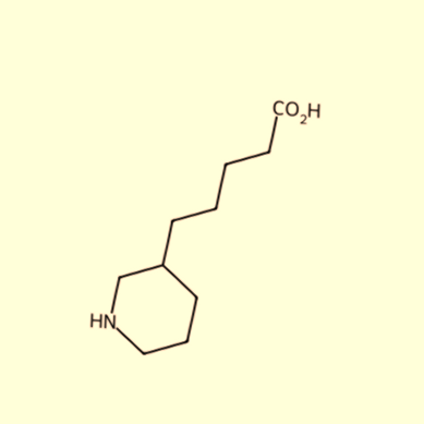 O=C(O)CCCCC1CCCNC1